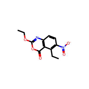 CCOc1nc2ccc([N+](=O)[O-])c(CC)c2c(=O)o1